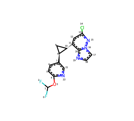 FC(F)Oc1ccc([C@H]2C[C@@H]2c2cc(Cl)nn3ccnc23)cn1